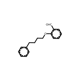 O=[C]c1ccccc1OCCCCc1ccccc1